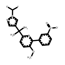 BC(B)(c1cnn(C(F)F)c1)c1ccc(OC)c(-c2cccc([N+](=O)[O-])c2)n1